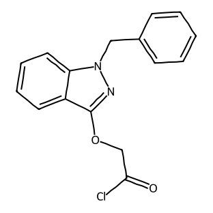 O=C(Cl)COc1nn(Cc2ccccc2)c2ccccc12